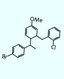 COC1=CC(Cc2ccccc2Cl)C(C(C)c2ccc(Br)cc2)C=C1